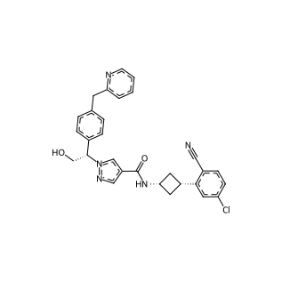 N#Cc1ccc(Cl)cc1[C@H]1C[C@@H](NC(=O)c2cnn([C@H](CO)c3ccc(Cc4ccccn4)cc3)c2)C1